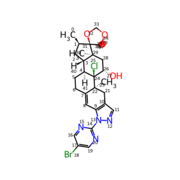 C[C@@H]1C[C@H]2[C@@H]3CCC4=Cc5c(cnn5-c5ncc(Br)cn5)C[C@]4(C)[C@@]3(Cl)[C@@H](O)C[C@]2(C)[C@]12OCOC21COCO1